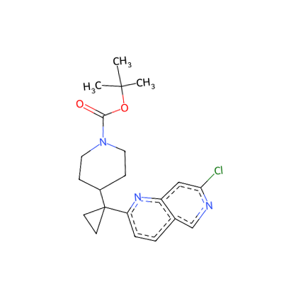 CC(C)(C)OC(=O)N1CCC(C2(c3ccc4cnc(Cl)cc4n3)CC2)CC1